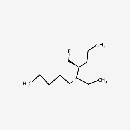 CCCCC[C@@H](CC)[C@@H](CF)CCC